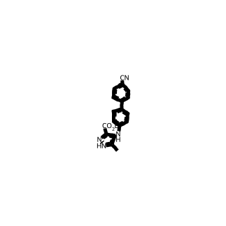 CCOC(=O)c1n[nH]c(C)c1Nc1ccc(-c2ccc(C#N)cc2)cc1